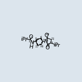 CC(C)C(=O)Nc1ccc(N2C(=O)CC(C(C)C)C2=O)cc1